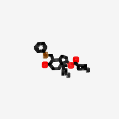 CC(=O)OC1CCC2=C(CSc3ccccc3)C(=O)CCC21C